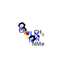 CNc1nc2sc(OCC3CCCCN3C)nc2c2c1ncn2C